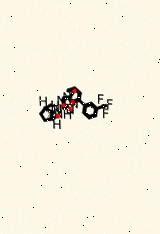 Cc1cc(N2C[C@H]3CC[C@@H](C2)[C@@H]3Nc2nc3c(-c4cccc(C(F)(F)F)c4)cccn3n2)sn1